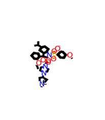 CCOc1ccccc1C1(OC(=O)N2CCN(C3CCN(C)CC3)CC2)C(=O)N(S(=O)(=O)c2ccc(OC)cc2OC)c2ccc(C(C)C)cc21